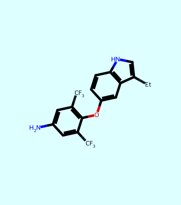 CCc1c[nH]c2ccc(Oc3c(C(F)(F)F)cc(N)cc3C(F)(F)F)cc12